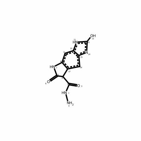 NNC(=O)C1C(=O)Nc2cc3[nH]c(O)nc3cc21